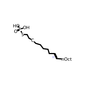 CCCCCCCC/C=C/CCCCCCCCSP(=O)(O)O